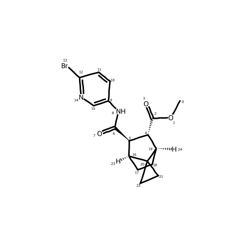 COC(=O)[C@H]1[C@H](C(=O)Nc2ccc(Br)nc2)[C@@H]2CC[C@H]1C21CC1